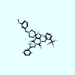 COc1cccc(CN2CCC3(CC2)OCc2c3c(=O)n(C[C@H](N)c3ccccc3)c(=O)n2Cc2c(F)cccc2C(F)(F)F)c1